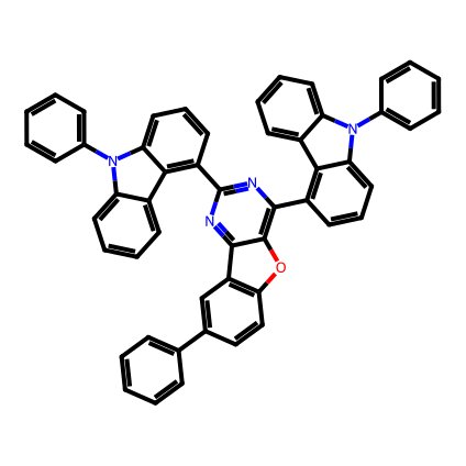 c1ccc(-c2ccc3oc4c(-c5cccc6c5c5ccccc5n6-c5ccccc5)nc(-c5cccc6c5c5ccccc5n6-c5ccccc5)nc4c3c2)cc1